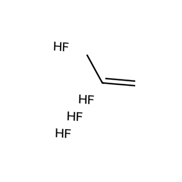 C=CC.F.F.F.F